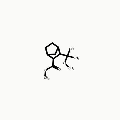 COC(=O)C1C2CCC(C2)C1C(C)(O)OC